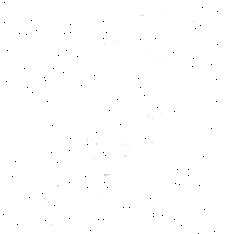 CC(C)(C)S(=O)(=O)c1cc2c(Nc3ccc4scnc4c3)ncnc2cc1OC1CCOCC1